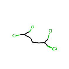 ClC(Cl)[CH]C(Cl)Cl